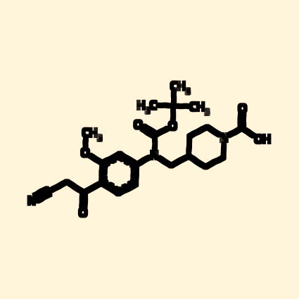 COc1cc(N(CC2CCN(C(=O)O)CC2)C(=O)OC(C)(C)C)ccc1C(=O)CC#N